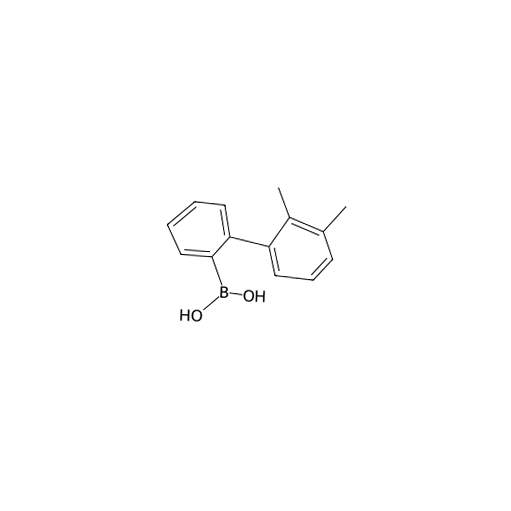 Cc1cccc(-c2ccccc2B(O)O)c1C